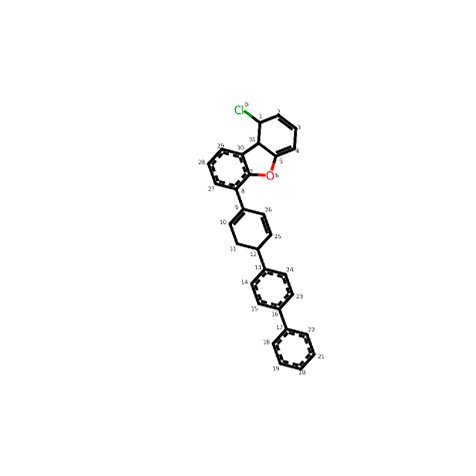 ClC1C=CC=C2Oc3c(C4=CCC(c5ccc(-c6ccccc6)cc5)C=C4)cccc3C21